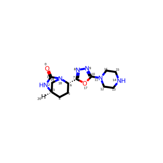 O=C1N[C@@H]2CC[C@@H](c3nnc(N4CCNCC4)o3)N1C2